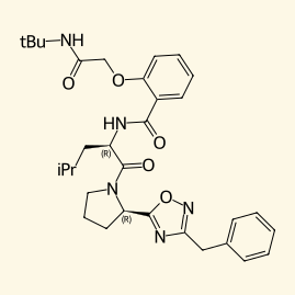 CC(C)C[C@@H](NC(=O)c1ccccc1OCC(=O)NC(C)(C)C)C(=O)N1CCC[C@@H]1c1nc(Cc2ccccc2)no1